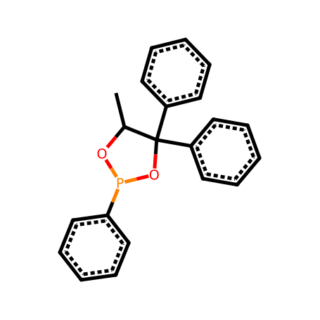 CC1OP(c2ccccc2)OC1(c1ccccc1)c1ccccc1